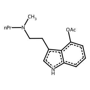 CCCN(C)CCc1c[nH]c2cccc(OC(C)=O)c12